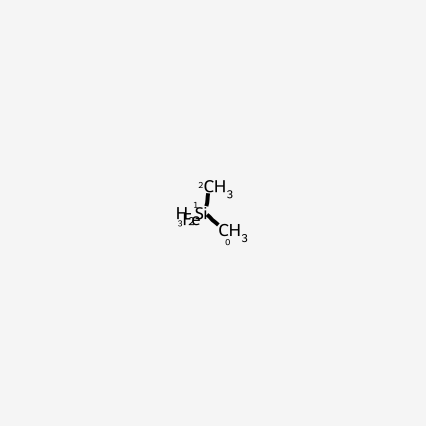 C[SiH2]C.[Fe]